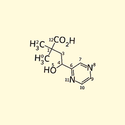 CC(C)(CC(O)c1cnccn1)C(=O)O